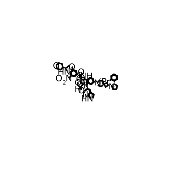 CC(C)c1ccccc1[C@@H]1CCCN1C1CC2(CCN(c3ccc(C(=O)NS(=O)(=O)c4cc5c(c([N+](=O)[O-])c4)N[C@@H](C4CCOCC4)CO5)c(N4c5cc6cc[nH]c6nc5O[C@@H]5COC[C@H]54)c3)CC2)C1